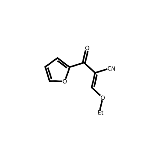 CCOC=C(C#N)C(=O)c1ccco1